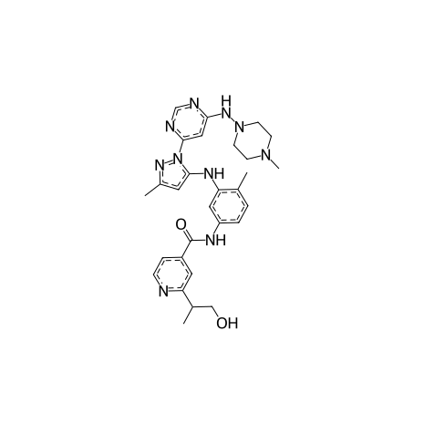 Cc1cc(Nc2cc(NC(=O)c3ccnc(C(C)CO)c3)ccc2C)n(-c2cc(NN3CCN(C)CC3)ncn2)n1